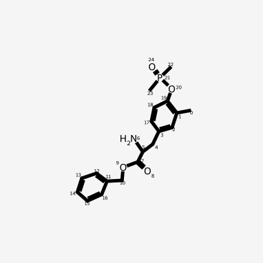 Cc1cc(CC(N)C(=O)OCc2ccccc2)ccc1OP(C)(C)=O